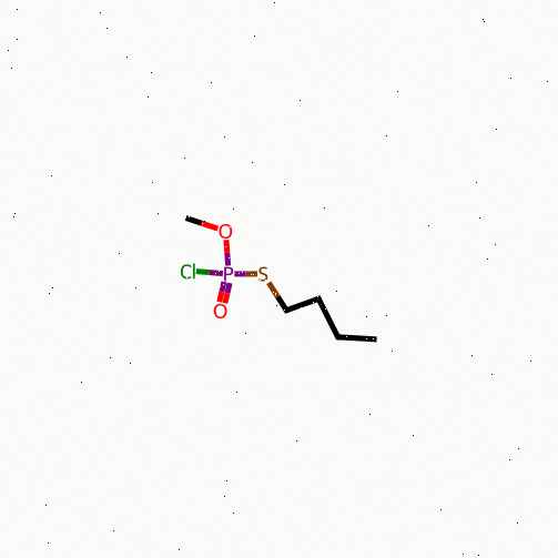 CCCCSP(=O)(Cl)OC